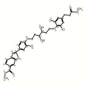 COC(=O)CCc1cc(Cl)c(OCCC(O)C(O)CCOc2ccc(-c3nc4ccc(C(=O)OC)cc4o3)cc2Cl)c(Cl)c1